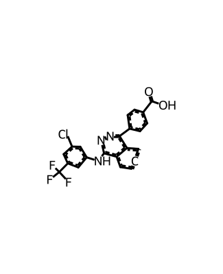 O=C(O)c1ccc(-c2nnc(Nc3cc(Cl)cc(C(F)(F)F)c3)c3ccccc23)cc1